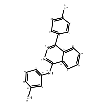 CC(C)c1ccc(-c2nnc(Nc3cccc(O)c3)c3ccccc23)cc1